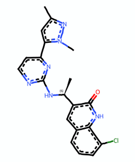 Cc1cc(-c2ccnc(N[C@@H](C)c3cc4cccc(Cl)c4[nH]c3=O)n2)n(C)n1